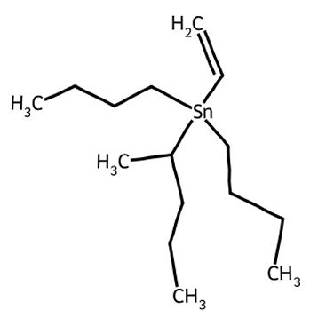 C=[CH][Sn]([CH2]CCC)([CH2]CCC)[CH](C)CCC